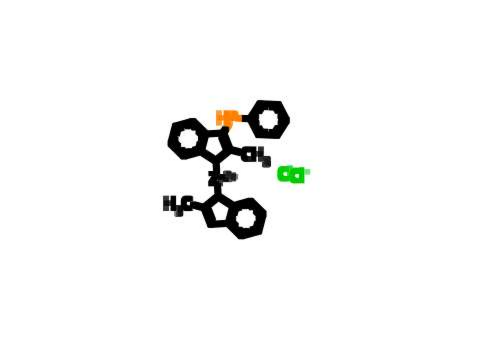 CC1=Cc2ccccc2[CH]1[Zr+2][CH]1C(C)=C(Pc2ccccc2)c2ccccc21.[Cl-].[Cl-]